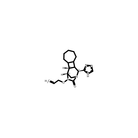 C=CCON1C(=O)N2C[C@H]1[C@@H]1C3CCCCCC3C1[C@H]2c1nnc[nH]1